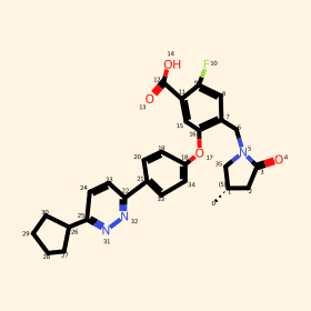 C[C@H]1CC(=O)N(Cc2cc(F)c(C(=O)O)cc2Oc2ccc(-c3ccc(C4CCCC4)nn3)cc2)C1